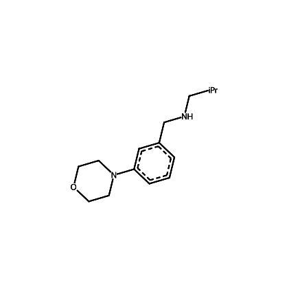 CC(C)CNCc1cccc(N2CCOCC2)c1